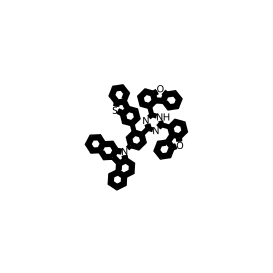 c1ccc2cc3c(cc2c1)c1c2ccccc2ccc1n3-c1ccc(C2=NC(c3cccc4oc5ccccc5c34)NC(c3cccc4oc5ccccc5c34)=N2)c(-c2ccc3c(c2)sc2ccccc23)c1